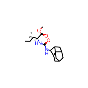 CC[C@H](C)[C@H](NC(=O)NC1C2CC3CC(C2)CC1C3)C(=O)OC